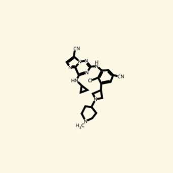 CN1CCC(N2CC(c3cc(C#N)cc(Nc4nc(NC5CC5)c5ncc(C#N)n5n4)c3Cl)C2)CC1